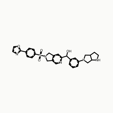 O=S(=O)(c1ccc(-c2ncco2)cc1)N1Cc2cnc(C(O)c3cccc(N4CC5CCNC5C4)c3)cc2C1